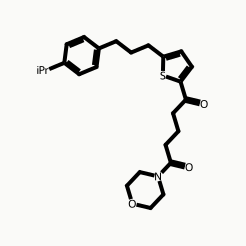 CC(C)c1ccc(CCCc2ccc(C(=O)CCCC(=O)N3CCOCC3)s2)cc1